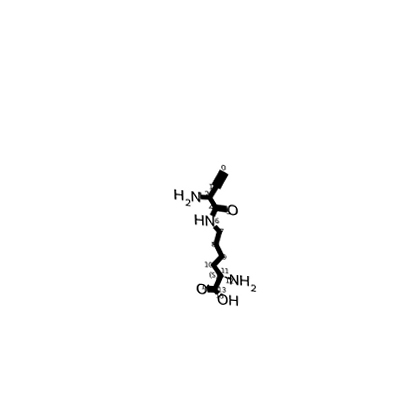 C#CC(N)C(=O)NCCCC[C@H](N)C(=O)O